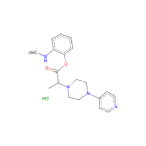 CC(C(=O)Oc1ccccc1NC=O)N1CCN(c2ccncc2)CC1.Cl